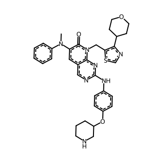 CN(c1ccccc1)c1cc2cnc(Nc3ccc(OC4CCCNC4)cc3)nc2n(Cc2scnc2C2CCOCC2)c1=O